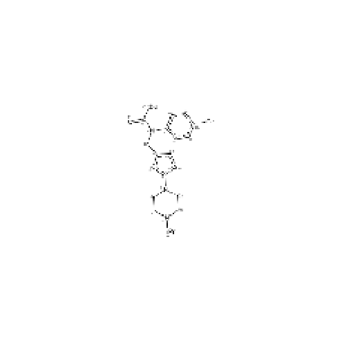 CC(C)N1CCN(c2nc(CN(C(=O)C(C)(C)C)c3ccc(F)cc3)cs2)CC1